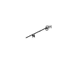 CCCCCCCCC(CCCCCCCCC=CCCCCCCCC(=O)O)CN(C)C